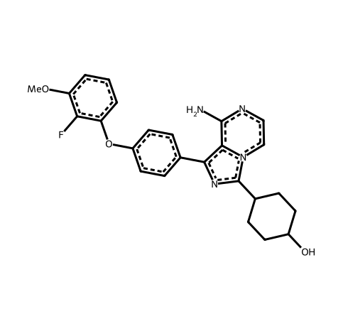 COc1cccc(Oc2ccc(-c3nc(C4CCC(O)CC4)n4ccnc(N)c34)cc2)c1F